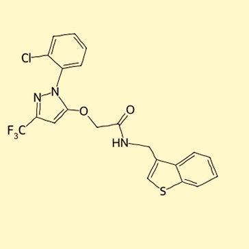 O=C(COc1cc(C(F)(F)F)nn1-c1ccccc1Cl)NCc1csc2ccccc12